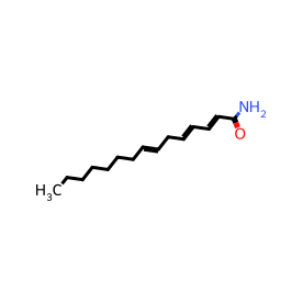 CCCCCCCC=CCC=CC=CC(N)=O